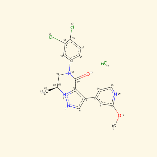 CCOc1cc(-c2cnn3c2C(=O)N(c2ccc(Cl)c(Cl)c2)C[C@@H]3C)ccn1.Cl